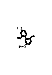 C=Cc1cc(O)ccc1-c1cc(OC(C)C)ccc1C=C